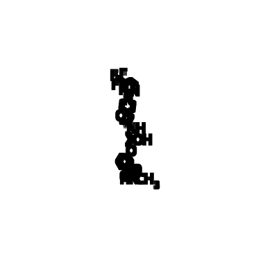 CNS(=O)(=O)c1cccc(OCC(O)CN[C@H]2COC3(CCN(c4nccc(C(F)(F)F)n4)CC3)C2)c1